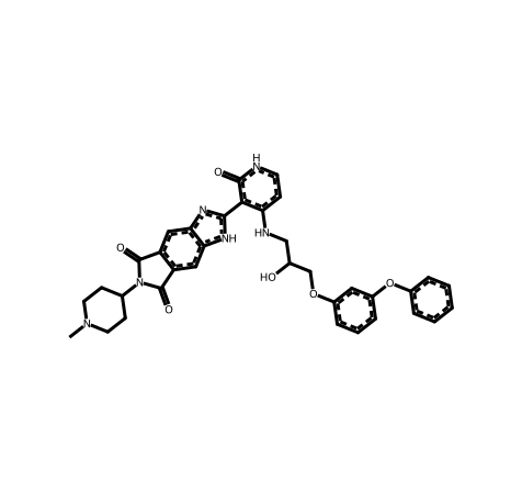 CN1CCC(N2C(=O)c3cc4nc(-c5c(NCC(O)COc6cccc(Oc7ccccc7)c6)cc[nH]c5=O)[nH]c4cc3C2=O)CC1